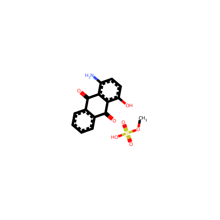 COS(=O)(=O)O.Nc1ccc(O)c2c1C(=O)c1ccccc1C2=O